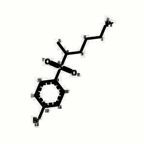 CC(C)CCCC(C)S(=O)(=O)c1ccc(Br)cc1